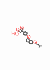 CC(C)CCOc1ccc2c(c1)C(Oc1ccc(C3(CC(=O)O)COC3)cc1)CC2